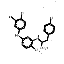 O=C(O)C(Cc1ccc(Cl)cc1)Nc1nc(Nc2ccc(Cl)c(Cl)c2)ncc1C(F)(F)F